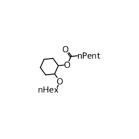 CCCCCCOC1CCCCC1OC(=O)CCCCC